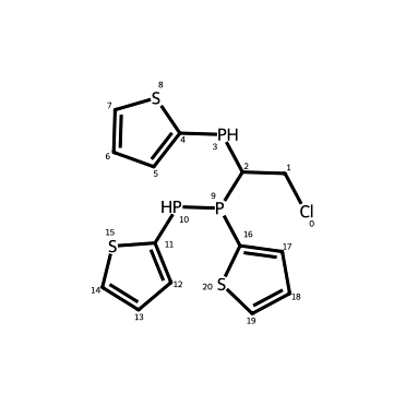 ClCC(Pc1cccs1)P(Pc1cccs1)c1cccs1